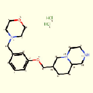 Cl.Cl.c1cc(CN2CCOCC2)cc(OCC2CCC3CNCCN3C2)c1